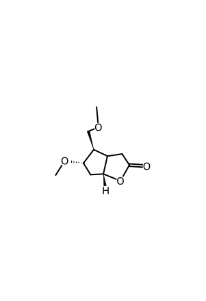 COC[C@H]1C2CC(=O)O[C@@H]2C[C@@H]1OC